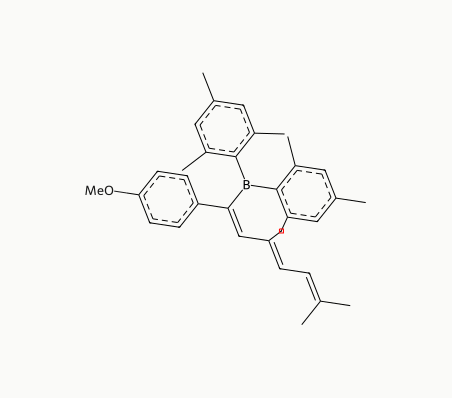 COc1ccc(/C(=C/C(C)=C/C=C(C)C)B(c2c(C)cc(C)cc2C)c2c(C)cc(C)cc2C)cc1